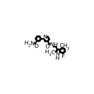 Cc1[nH]c2c(F)ccc(C)c2c1CCNC(=O)c1ccnc(-c2cccc(C(N)=O)c2)c1